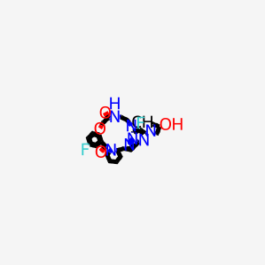 CN1CCNC(=O)COc2ccc(F)cc2C(=O)N2CCCCC2c2cc3nc(N4CC(O)C4)c(F)c1n3n2